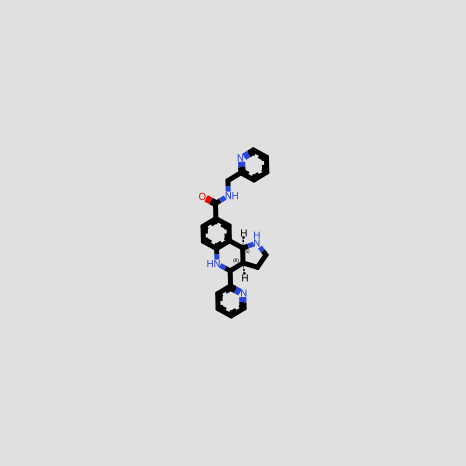 O=C(NCc1ccccn1)c1ccc2c(c1)[C@H]1NCC[C@H]1C(c1ccccn1)N2